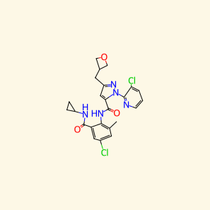 Cc1cc(Cl)cc(C(=O)NC2CC2)c1NC(=O)c1cc(CC2COC2)nn1-c1ncccc1Cl